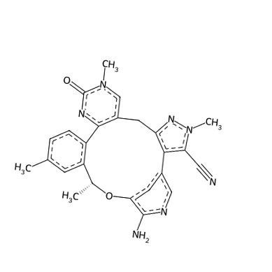 Cc1ccc2c(c1)[C@@H](C)Oc1cc(cnc1N)-c1c(nn(C)c1C#N)Cc1cn(C)c(=O)nc1-2